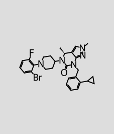 C[C@H]1c2cn(C)nc2N(Cc2ccccc2C2CC2)C(=O)N1C1CCN(c2c(F)cccc2Br)CC1